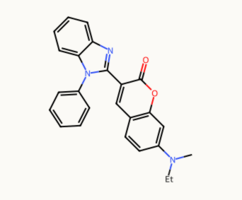 CCN(C)c1ccc2cc(-c3nc4ccccc4n3-c3ccccc3)c(=O)oc2c1